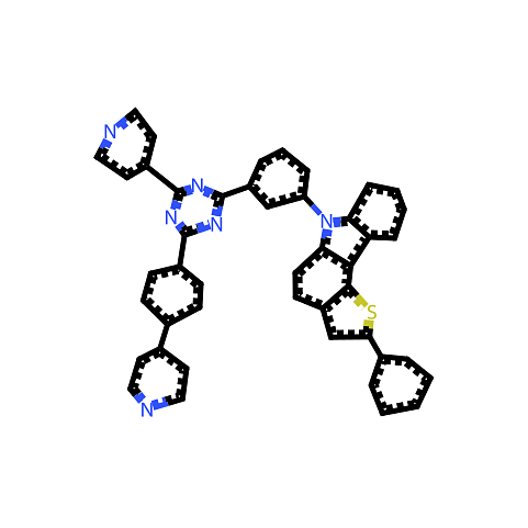 c1ccc(-c2cc3ccc4c(c5ccccc5n4-c4cccc(-c5nc(-c6ccncc6)nc(-c6ccc(-c7ccncc7)cc6)n5)c4)c3s2)cc1